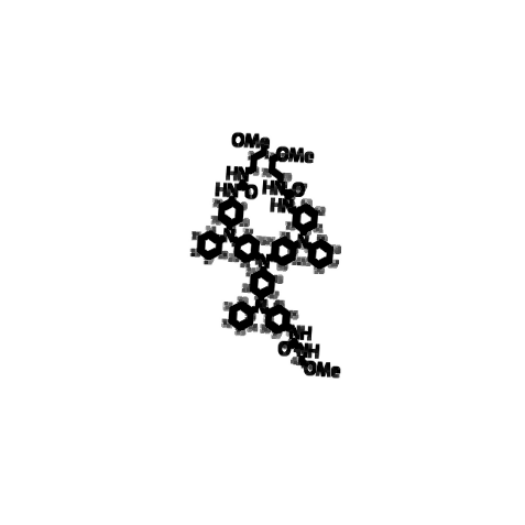 COCCCNC(=O)Nc1ccc(N(c2ccccc2)c2ccc(N(c3ccc(N(c4ccccc4)c4ccc(NC(=O)NCOC)cc4)cc3)c3ccc(N(c4ccccc4)c4cccc(NC(=O)NCCCOC)c4)cc3)cc2)cc1